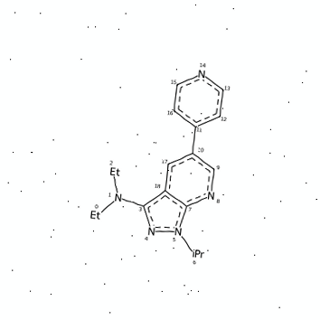 CCN(CC)c1nn(C(C)C)c2ncc(-c3ccncc3)cc12